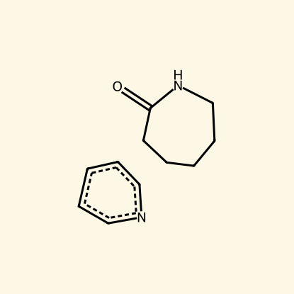 O=C1CCCCCN1.c1ccncc1